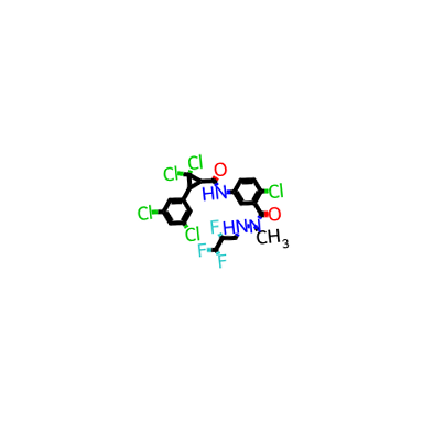 CN(NCC(F)C(F)F)C(=O)c1cc(NC(=O)C2C(c3cc(Cl)cc(Cl)c3)C2(Cl)Cl)ccc1Cl